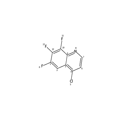 Fc1cc2c(Cl)ccnc2c(F)c1F